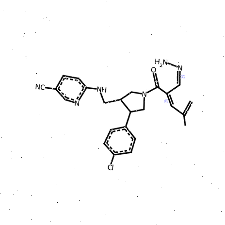 C=C(C)/C=C(\C=N/N)C(=O)N1CC(CNc2ccc(C#N)cn2)C(c2ccc(Cl)cc2)C1